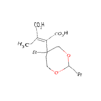 CCC1(/C(C(=O)O)=C(\C)C(=O)O)COC(C(C)C)OC1